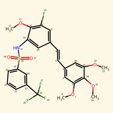 COc1cc(C=Cc2cc(F)c(OC)c(NS(=O)(=O)c3cccc(C(F)(F)F)c3)c2)cc(OC)c1OC